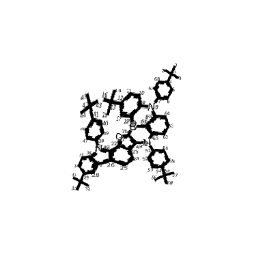 CC(C)(C)c1ccc(N2c3ccc(C(C)(C)C)cc3B3c4oc5c(ccc6c7cc(C(C)(C)C)ccc7n(-c7ccc(C(C)(C)C)cc7)c65)c4N(c4ccc(C(C)(C)C)cc4)c4cccc2c43)cc1